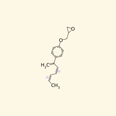 C=C(/C=C\C=C/C)c1ccc(OCC2CO2)cc1